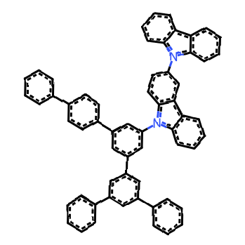 c1ccc(-c2ccc(-c3cc(-c4cc(-c5ccccc5)cc(-c5ccccc5)c4)cc(-n4c5ccccc5c5cc(-n6c7ccccc7c7ccccc76)ccc54)c3)cc2)cc1